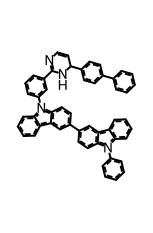 C1=CC(c2ccc(-c3ccccc3)cc2)NC(c2cccc(-n3c4ccccc4c4cc(-c5ccc6c(c5)c5ccccc5n6-c5ccccc5)ccc43)c2)=N1